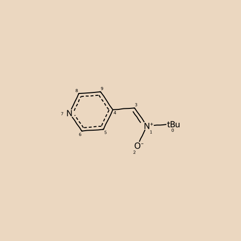 CC(C)(C)[N+]([O-])=Cc1ccncc1